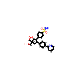 NS(=O)(=O)c1ccc(C2=C(c3ccc(-c4ccccn4)cc3)CC(CO)(CO)C2)cc1